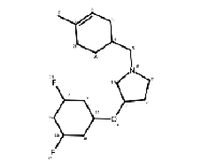 CC1=CCC(CN2CCC(OC3CC(F)CC(F)C3)C2)CC1